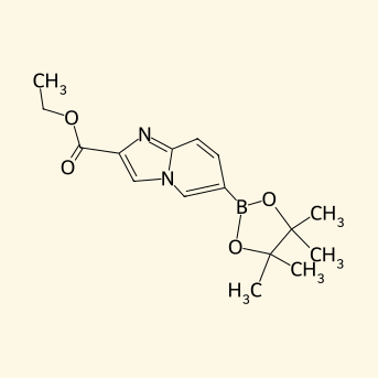 CCOC(=O)c1cn2cc(B3OC(C)(C)C(C)(C)O3)ccc2n1